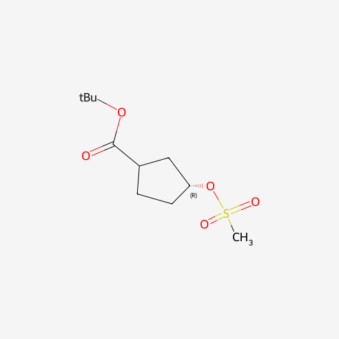 CC(C)(C)OC(=O)C1CC[C@@H](OS(C)(=O)=O)C1